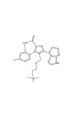 C[Si](C)(C)CCOCn1c(-c2ccnc3[nH]ccc23)cc(C(N)=O)c1-c1ccc(F)cc1F